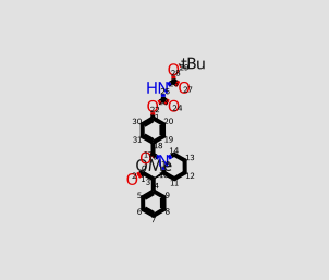 COC(=O)[C@H](c1ccccc1)C1CCCCN1C(=O)c1ccc(OC(=O)NC(=O)OC(C)(C)C)cc1